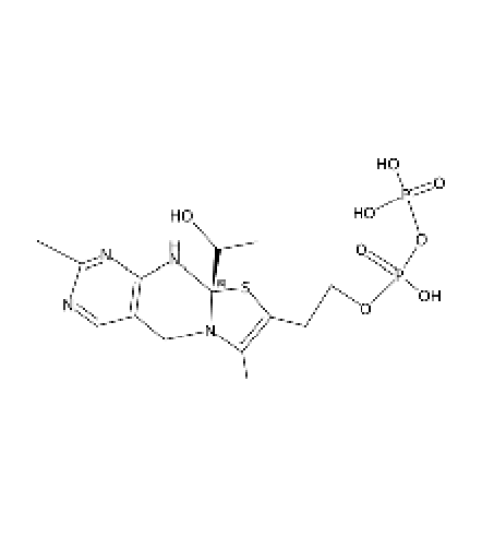 CC1=C(CCOP(=O)(O)OP(=O)(O)O)S[C@@]2(C(C)O)Nc3nc(C)ncc3CN12